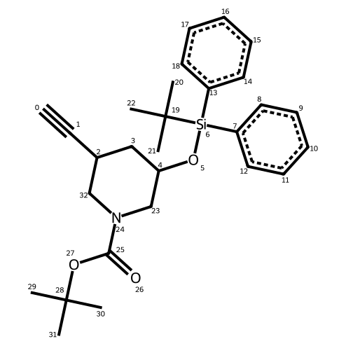 C#CC1CC(O[Si](c2ccccc2)(c2ccccc2)C(C)(C)C)CN(C(=O)OC(C)(C)C)C1